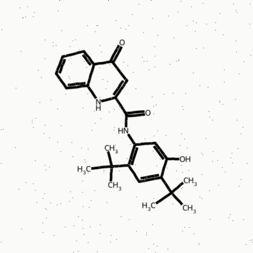 CC(C)(C)c1cc(C(C)(C)C)c(NC(=O)c2cc(=O)c3ccccc3[nH]2)cc1O